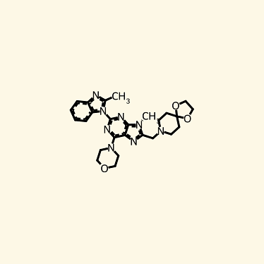 Cc1nc2ccccc2n1-c1nc(N2CCOCC2)c2nc(CN3CCC4(CC3)OCCO4)n(C)c2n1